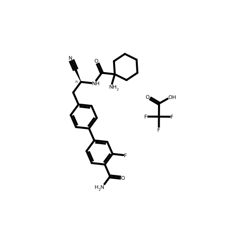 N#C[C@H](Cc1ccc(-c2ccc(C(N)=O)c(F)c2)cc1)NC(=O)C1(N)CCCCC1.O=C(O)C(F)(F)F